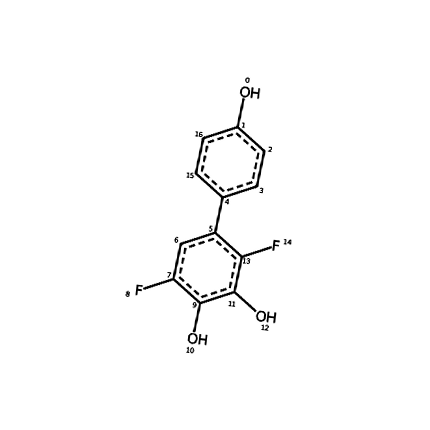 Oc1ccc(-c2cc(F)c(O)c(O)c2F)cc1